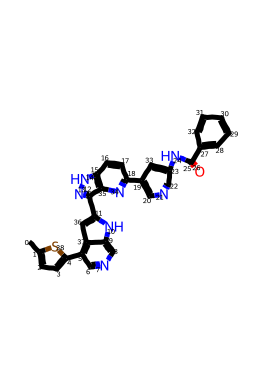 Cc1ccc(-c2cncc3[nH]c(-c4n[nH]c5ccc(-c6cncc(NC(=O)c7ccccc7)c6)nc45)cc23)s1